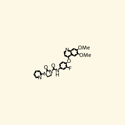 COc1cc2nccc(Oc3ccc(NC(=O)N4CCN(c5ccccn5)C4=O)cc3F)c2cc1OC